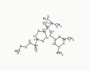 CN1CC(P)OC(COP(=O)(N(C)C)N2CCN(C(=O)OCCO)CC2)C1